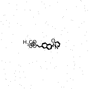 CS(=O)(=O)OCCc1ccc2cc(-n3ncccc3=O)ccc2c1